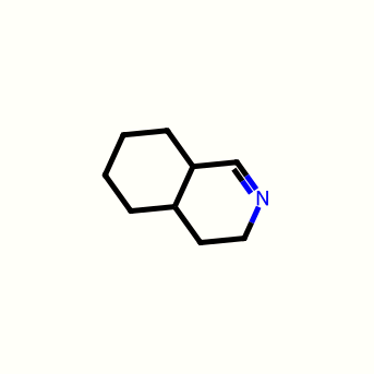 C1=NCCC2CCCCC12